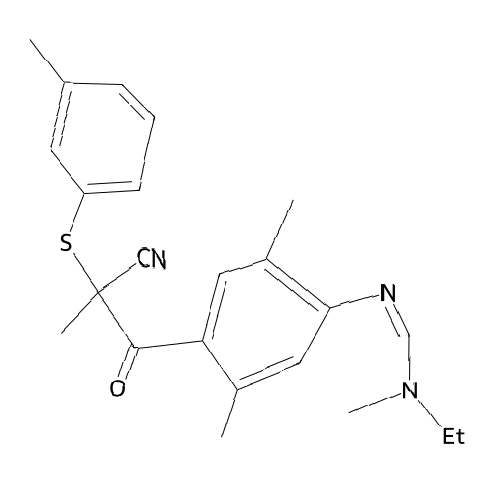 CCN(C)/C=N\c1cc(C)c(C(=O)C(C)(C#N)Sc2cccc(C)c2)cc1C